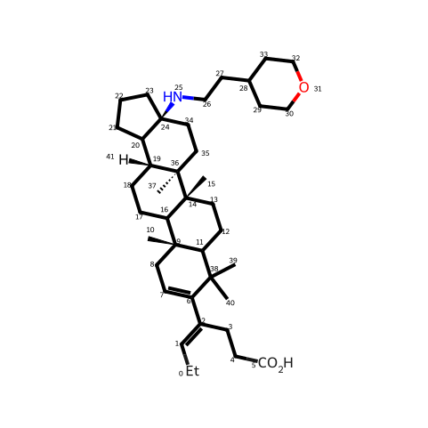 CC/C=C(\CCC(=O)O)C1=CC[C@@]2(C)C(CC[C@]3(C)C2CC[C@@H]2C4CCC[C@]4(NCCC4CCOCC4)CC[C@]23C)C1(C)C